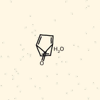 O.O=C1C2=CC=C1C=C2